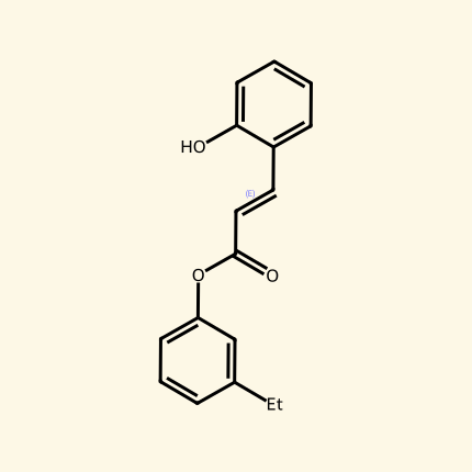 CCc1cccc(OC(=O)/C=C/c2ccccc2O)c1